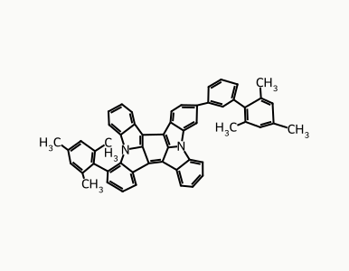 Cc1cc(C)c(-c2cccc(-c3ccc4c5c6c7ccccc7n7c8c(-c9c(C)cc(C)cc9C)cccc8c(c8c9ccccc9n(c4c3)c58)c67)c2)c(C)c1